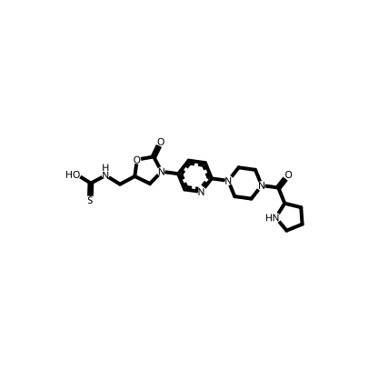 O=C(C1CCCN1)N1CCN(c2ccc(N3CC(CNC(O)=S)OC3=O)cn2)CC1